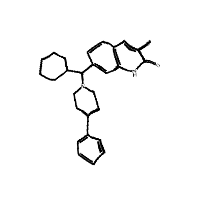 Cc1cc2ccc(C(C3CCCCC3)N3CCC(c4ccccc4)CC3)cc2[nH]c1=O